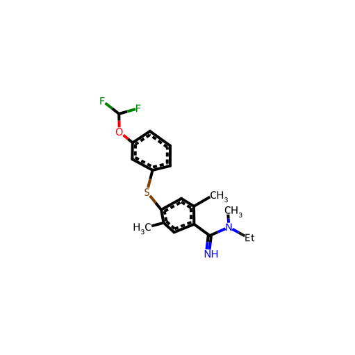 CCN(C)C(=N)c1cc(C)c(Sc2cccc(OC(F)F)c2)cc1C